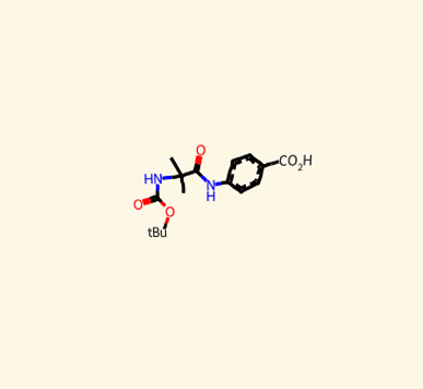 CC(C)(C)OC(=O)NC(C)(C)C(=O)Nc1ccc(C(=O)O)cc1